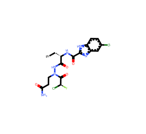 CC(C)C[C@H](NC(=O)c1nc2cc(Cl)ccc2[nH]1)C(=O)NN(CCC(N)=O)C(=O)[C@@H](F)Cl